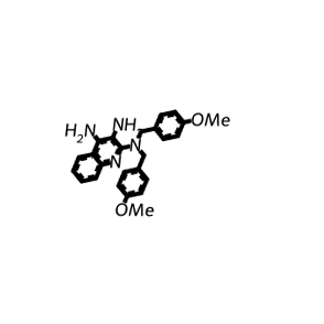 COc1ccc(CN(Cc2ccc(OC)cc2)c2nc3ccccc3c(N)c2N)cc1